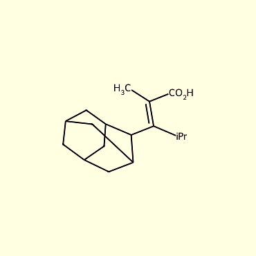 CC(C(=O)O)=C(C(C)C)C1C2CC3CC(C2)CC1C3